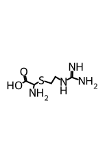 N=C(N)NCCSC(N)C(=O)O